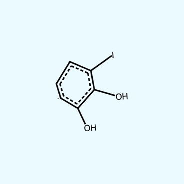 Oc1[c]ccc(I)c1O